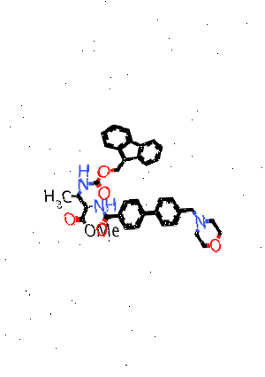 COC(=O)[C@@H](NC(=O)c1ccc(-c2ccc(CN3CCOCC3)cc2)cc1)[C@@H](C)NC(=O)OCC1c2ccccc2-c2ccccc21